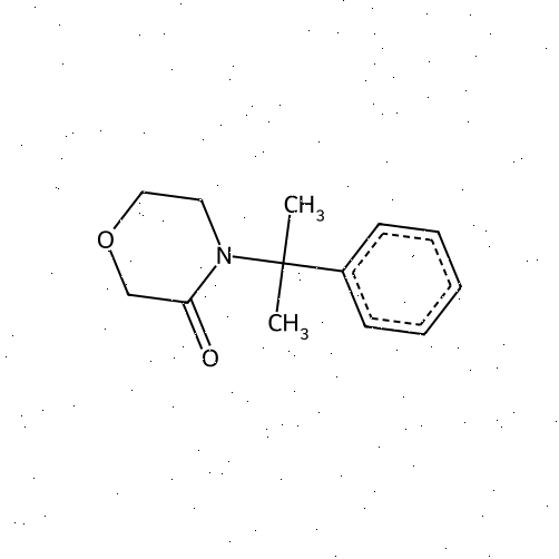 CC(C)(c1ccccc1)N1CCOCC1=O